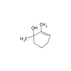 CC1=CCCCC1(C)O